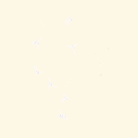 COC1(C)CCN(c2c(C#N)c(=O)[nH]c3cnc(-n4ccc(N)nc4=O)cc23)CC1